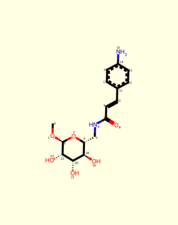 CO[C@H]1O[C@H](CNC(=O)C=Cc2ccc(N)cc2)[C@@H](O)[C@H](O)[C@@H]1O